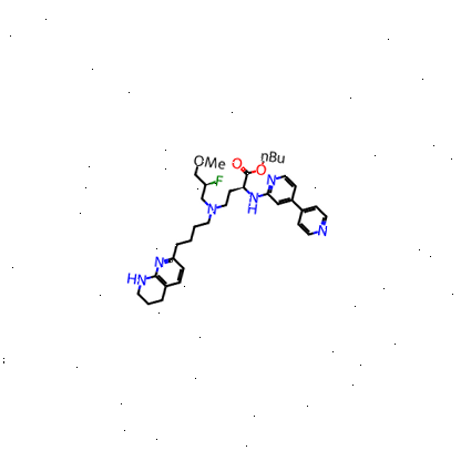 CCCCOC(=O)[C@H](CCN(CCCCc1ccc2c(n1)NCCC2)C[C@H](F)COC)Nc1cc(-c2ccncc2)ccn1